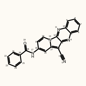 N#Cc1c2nc3ccccc3nc2n2ccc(NC(=O)c3ccccc3)cc12